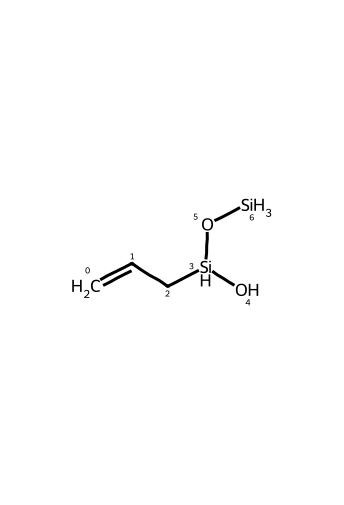 C=CC[SiH](O)O[SiH3]